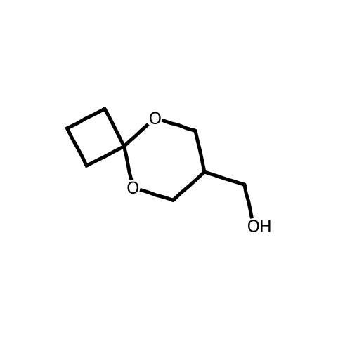 OCC1COC2(CCC2)OC1